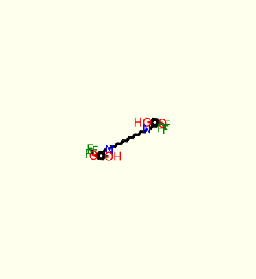 Oc1ccc(OC(F)(F)F)cc1C=NCCCCCCCCCCCCN=Cc1cc(OC(F)(F)F)ccc1O